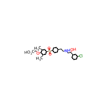 Cc1cc(S(=O)(=O)c2ccc(CCNC[C@@H](O)c3cccc(Cl)c3)cc2)cc(C)c1OCC(=O)O